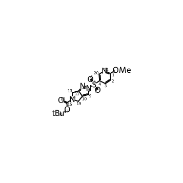 COc1ccc(S(=O)(=O)n2cc3c(n2)CN(C(=O)OC(C)(C)C)C3)cn1